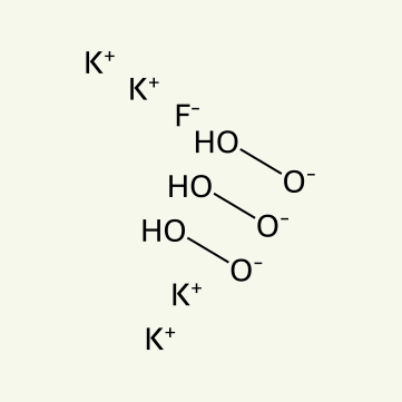 [F-].[K+].[K+].[K+].[K+].[O-]O.[O-]O.[O-]O